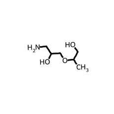 CC(CO)OCC(O)CN